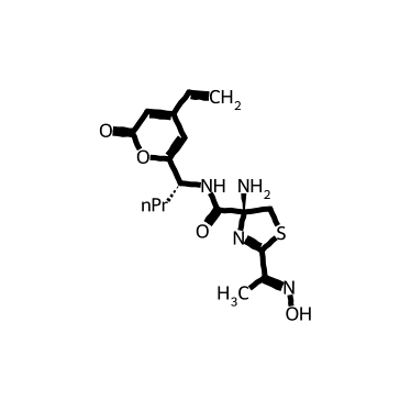 C=Cc1cc([C@@H](CCC)NC(=O)[C@]2(N)CSC(/C(C)=N/O)=N2)oc(=O)c1